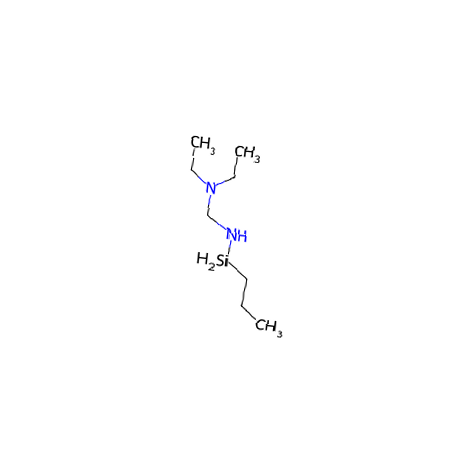 CCC[SiH2]NCN(CC)CC